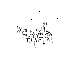 CN[C@@H]1[C@@H](O)[C@@H](O[C@H]2[C@H](NC(=O)[C@@H](O)CCN)C[C@H](N)C([C@H]3OC(CNC[C@H](O)C(=O)O)=CC[C@H]3N)[C@@H]2O)CC[C@]1(C)O